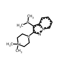 CN(C)c1c(N2CC[N+](C)(C)CC2)nn2ccccc12